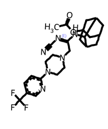 CC(=O)OC12CC3CC(C1)C(N/C(CN1CCN(c4ccc(C(F)(F)F)cn4)CC1)=N/C#N)C(C3)C2